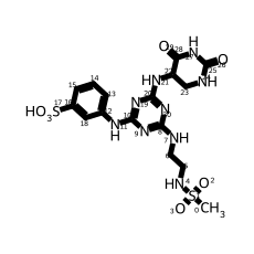 CS(=O)(=O)NCCNc1nc(Nc2cccc(S(=O)(=O)O)c2)nc(NC2CNC(=O)NC2=O)n1